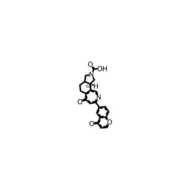 O=C(O)N1CC2CCc3c(cnc(-c4ccc5occc(=O)c5c4)cc3=O)[C@H]2C1